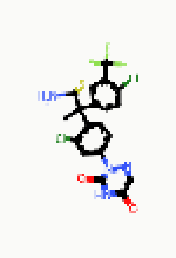 CC(C(N)=S)(c1ccc(Cl)c(C(F)(F)F)c1)c1ccc(-n2ncc(=O)[nH]c2=O)cc1Cl